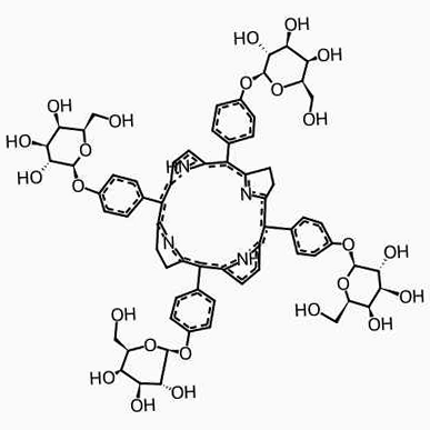 OC[C@H]1O[C@@H](Oc2ccc(-c3c4nc(c(-c5ccc(O[C@@H]6O[C@H](CO)[C@H](O)[C@H](O)[C@H]6O)cc5)c5ccc([nH]5)c(-c5ccc(O[C@@H]6O[C@H](CO)[C@H](O)[C@H](O)[C@H]6O)cc5)c5nc(c(-c6ccc(O[C@@H]7O[C@H](CO)[C@H](O)[C@H](O)[C@H]7O)cc6)c6ccc3[nH]6)CC5)CC4)cc2)[C@H](O)[C@@H](O)[C@H]1O